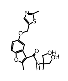 Cc1ncc(COc2ccc3oc(C)c(C(=O)NC(C)(CO)CO)c3c2)s1